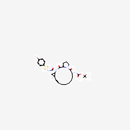 CC(C)(C)OC(=O)N[C@H]1CCCCC/C=C\[C@@H]2C[C@@]2(C(=O)NS(=O)(=O)c2ccc(Br)cc2)NC(=O)[C@@H]2CCCN2C1=O